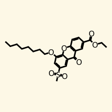 CCCCCCCCOc1cc(S(C)(=O)=O)cc2c(=O)c3cc(C(=O)OCC)ccc3oc12